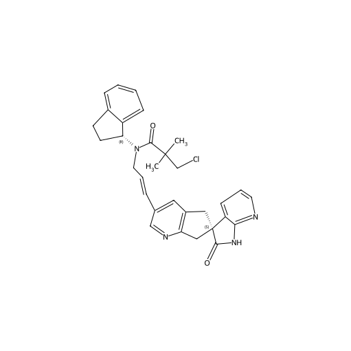 CC(C)(CCl)C(=O)N(CC=Cc1cnc2c(c1)C[C@@]1(C2)C(=O)Nc2ncccc21)[C@@H]1CCc2ccccc21